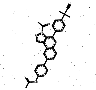 CC(=O)Nc1ccc(-c2ccc3nc(-c4ccc(C(C)(C)C#N)cc4)c4c(cnn4C(C)=O)c3c2)cn1